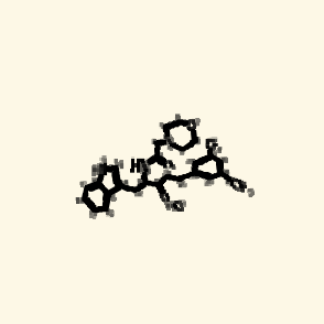 Cl.O=C(CN1CCOCC1)NC(Cc1c[nH]c2ccccc12)C(=O)CCc1cc(C(F)(F)F)cc(C(F)(F)F)c1